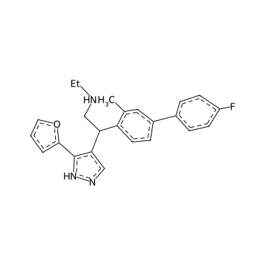 CCNCC(c1ccc(-c2ccc(F)cc2)cc1C)c1cn[nH]c1-c1ccco1